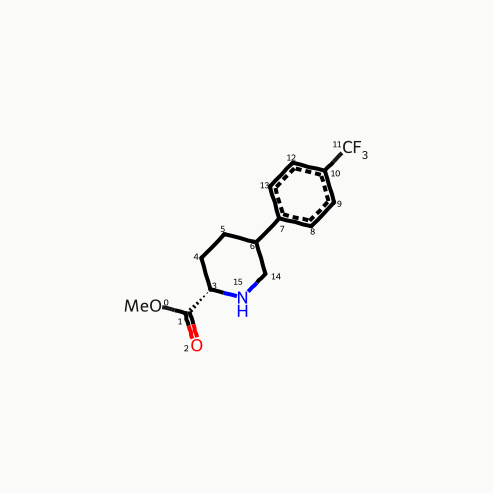 COC(=O)[C@@H]1CCC(c2ccc(C(F)(F)F)cc2)CN1